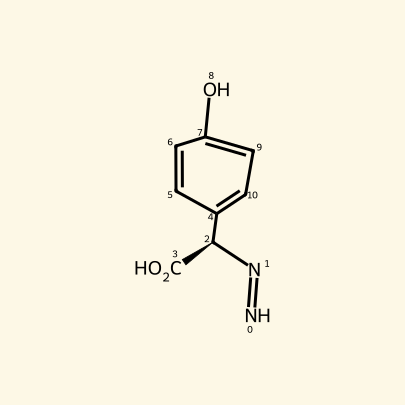 N=N[C@@H](C(=O)O)c1ccc(O)cc1